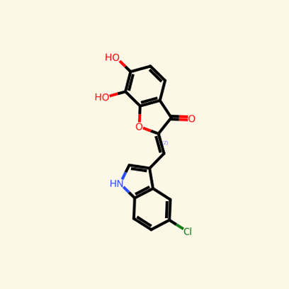 O=C1/C(=C/c2c[nH]c3ccc(Cl)cc23)Oc2c1ccc(O)c2O